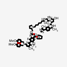 COc1ccc(CN(Cc2ccc(OC)cc2)c2cc(C)c(C(F)(F)F)c(-c3c(Cl)cc4c(N5CC6CCC(C5)N6C(=O)OC(C)(C)C)nc(OCC5CCCN5CCCCCCC(=O)NC(C(=O)N5C[C@H](O)C[C@H]5C(=O)N[C@@H](C)c5ccc(-c6scnc6C)cc5)C(C)(C)C)nc4c3F)n2)cc1